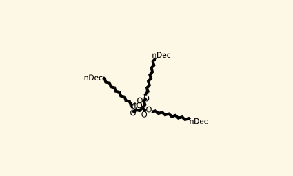 CCCCCCCCCCCCCCCCCCCCCCOC(=O)CC(O)(CC(=O)OCCCCCCCCCCCCCCCCCCCCCC)C(=O)OCCCCCCCCCCCCCCCCCCCCCC